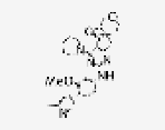 COc1cc(Nc2nc3c(c(N4CCCCC4)n2)[S+]([O-])C2(CCOCC2)C3)ccc1-n1cnc(C)c1